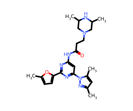 Cc1cc(C)n(-c2cc(NC(=O)CCN3CC(C)NC(C)C3)nc(-c3ccc(C)o3)n2)n1